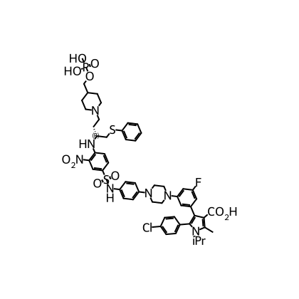 Cc1c(C(=O)O)c(-c2cc(F)cc(N3CCN(c4ccc(NS(=O)(=O)c5ccc(N[C@H](CCN6CCC(COP(=O)(O)O)CC6)CSc6ccccc6)c([N+](=O)[O-])c5)cc4)CC3)c2)c(-c2ccc(Cl)cc2)n1C(C)C